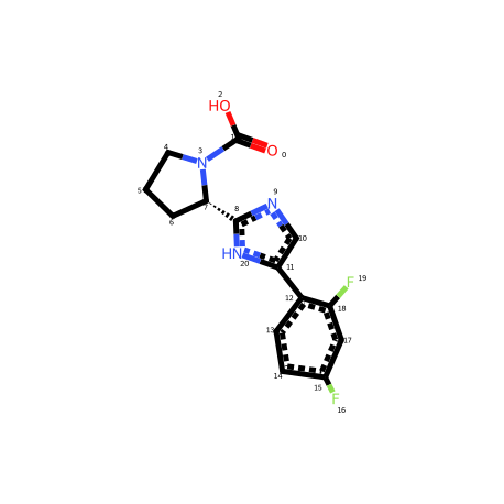 O=C(O)N1CCC[C@H]1c1ncc(-c2ccc(F)cc2F)[nH]1